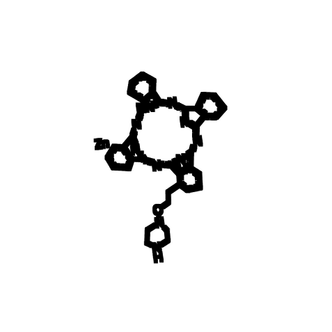 [Zn].c1ccc2c(c1)-c1nc-2nc2[nH]c(nc3nc(nc4[nH]c(n1)c1ccccc41)-c1ccccc1-3)c1c(CCON3CCNCC3)cccc21